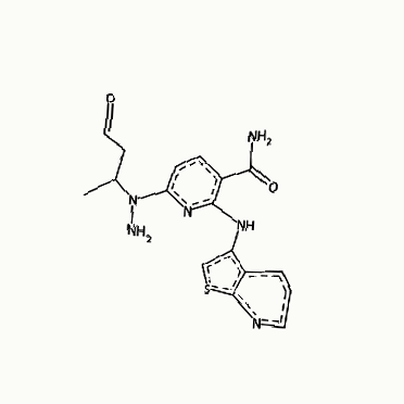 CC(CC=O)N(N)c1ccc(C(N)=O)c(Nc2csc3ncccc23)n1